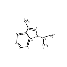 CCCN(C)n1cc(C)c2ccccc21